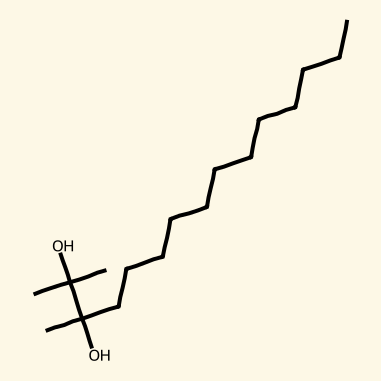 CCCCCCCCCCCCC(C)(O)C(C)(C)O